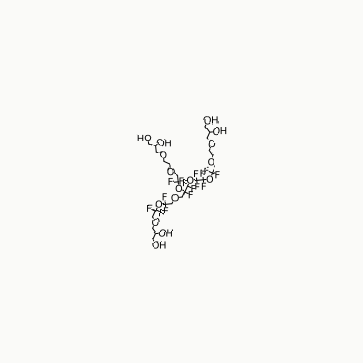 OCC(O)COCCOCC(F)(F)OC(F)(F)C(F)(F)OC(F)(F)C(F)(COCC(F)(F)OC(F)(F)COCC(O)CO)OC(F)(F)COCCOCC(O)CO